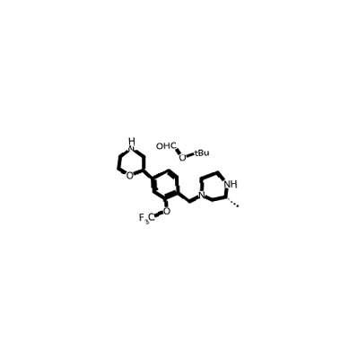 CC(C)(C)OC=O.C[C@@H]1CN(Cc2ccc(C3CNCCO3)cc2OC(F)(F)F)CCN1